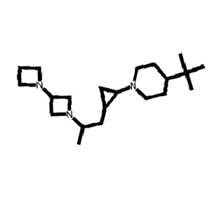 CC(CC1CC1N1CCC(C(C)(C)C)CC1)N1CC(N2CCC2)C1